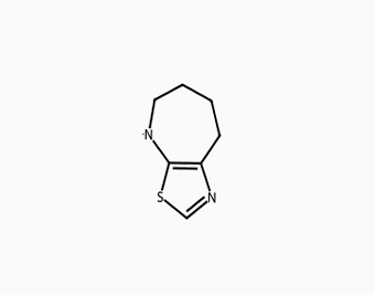 c1nc2c(s1)[N]CCCC2